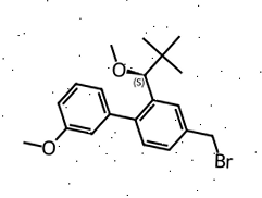 COc1cccc(-c2ccc(CBr)cc2[C@@H](OC)C(C)(C)C)c1